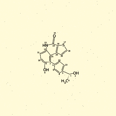 C[C@@H](O)c1ccc(-c2c(O)ccc3[nH]c(=O)c4sccc4c23)cc1